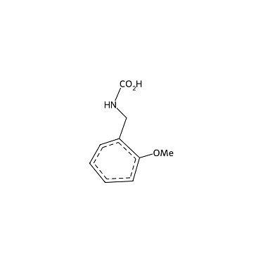 COc1ccccc1CNC(=O)O